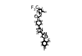 Cc1cc(C(F)(F)F)nn1CC(=O)N1CCC(c2nc(C3=NOC(c4ccc(F)cc4F)C3)cs2)CC1